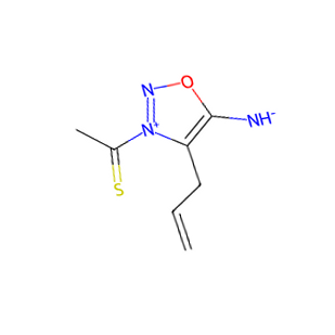 C=CCc1c([NH-])on[n+]1C(C)=S